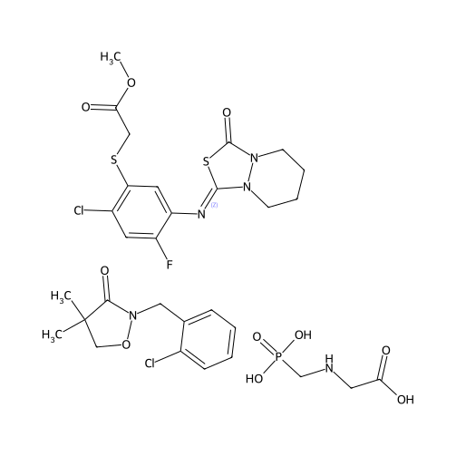 CC1(C)CON(Cc2ccccc2Cl)C1=O.COC(=O)CSc1cc(/N=c2\sc(=O)n3n2CCCC3)c(F)cc1Cl.O=C(O)CNCP(=O)(O)O